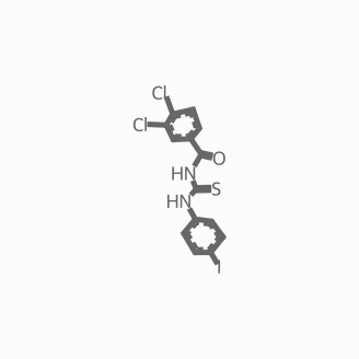 O=C(NC(=S)Nc1ccc(I)cc1)c1ccc(Cl)c(Cl)c1